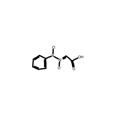 O=C(O)/C=[N+](\[O-])N(Cl)c1ccccc1